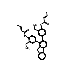 CC=CC(=O)Oc1ccc(-c2ccc3c(c2-c2ccc(OC(=O)C=CC)c(CN)c2)Cc2ccccc2-3)cc1CN